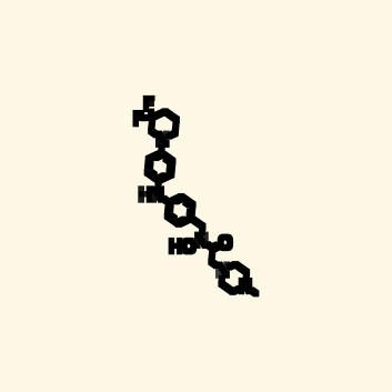 CN1CCN(CC(=O)N(O)Cc2ccc(Nc3ccc(N4CCCC(F)(F)C4)cc3)cc2)CC1